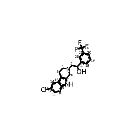 OC(CN1CCc2c([nH]c3ccc(Cl)cc23)C1)c1cccc(C(F)(F)F)c1